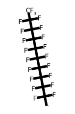 [CH2]C(F)(F)C(F)(F)C(F)(F)C(F)(F)C(F)(F)C(F)(F)C(F)(F)C(F)(F)C(F)(F)C(F)(F)F